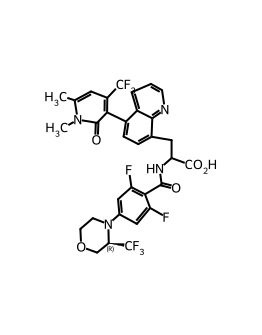 Cc1cc(C(F)(F)F)c(-c2ccc(CC(NC(=O)c3c(F)cc(N4CCOC[C@@H]4C(F)(F)F)cc3F)C(=O)O)c3ncccc23)c(=O)n1C